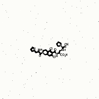 N#C/N=C(/NC[C@H](NC(=O)c1c(Cl)cc2c(c1Cl)CCN(C(=O)C(=N)/C=C1/C=CC=N1)C2)C(=O)O)N1CCCC1